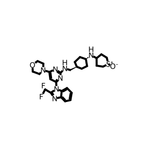 [O-][S+]1CCC(N[C@H]2CC[C@H](CNc3nc(N4CCOCC4)cc(-n4c(C(F)F)nc5ccccc54)n3)CC2)CC1